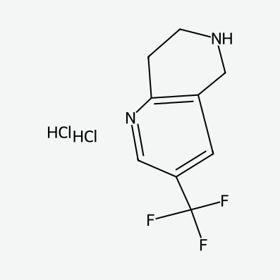 Cl.Cl.FC(F)(F)c1cnc2c(c1)CNCC2